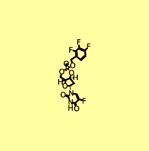 O=c1[nH]c(=O)n([C@H]2C[C@@H]3OP(=O)(OCc4ccc(F)c(F)c4F)OC[C@H]3O2)cc1F